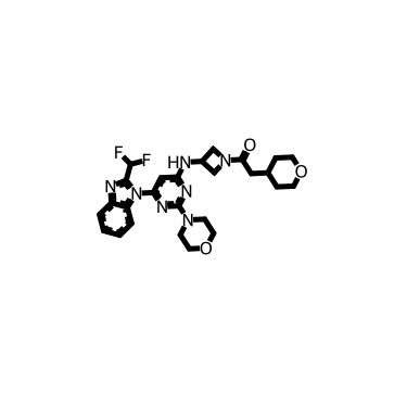 O=C(CC1CCOCC1)N1CC(Nc2cc(-n3c(C(F)F)nc4ccccc43)nc(N3CCOCC3)n2)C1